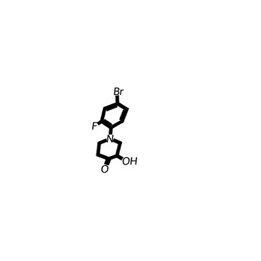 O=C1CCN(c2ccc(Br)cc2F)CC1O